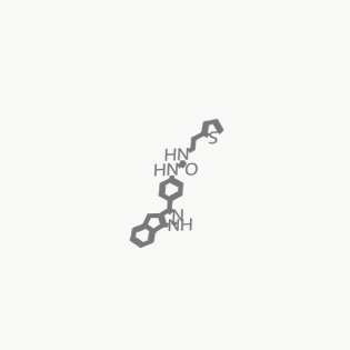 O=C(NCCc1cccs1)Nc1ccc(-c2n[nH]c3c2Cc2ccccc2-3)cc1